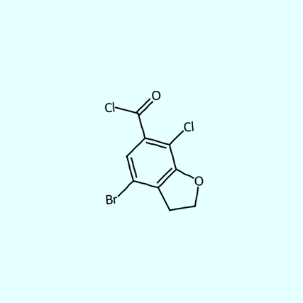 O=C(Cl)c1cc(Br)c2c(c1Cl)OCC2